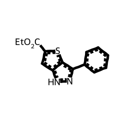 CCOC(=O)c1cc2[nH]nc(-c3ccccc3)c2s1